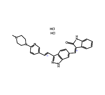 CN1CCN(c2ccc(/C=C/c3n[nH]c4cc(/C=C5\C(=O)Nc6ccccc65)ccc34)cn2)CC1.Cl.Cl